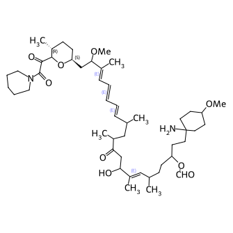 COC1CCC(N)(CCC(CCC(C)/C=C(\C)C(O)CC(=O)C(C)CC(C)/C=C/C=C/C=C(\C)C(C[C@@H]2CC[C@@H](C)C(C(=O)C(=O)N3CCCCC3)O2)OC)OC=O)CC1